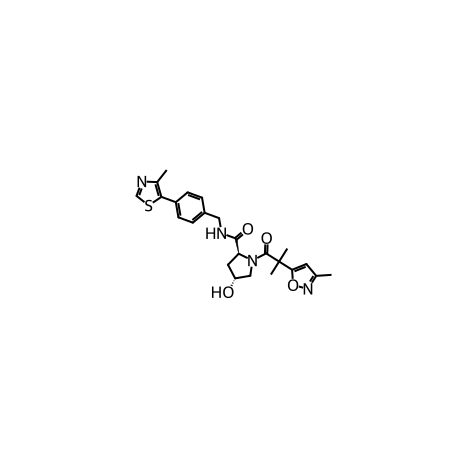 Cc1cc(C(C)(C)C(=O)N2C[C@H](O)C[C@H]2C(=O)NCc2ccc(-c3scnc3C)cc2)on1